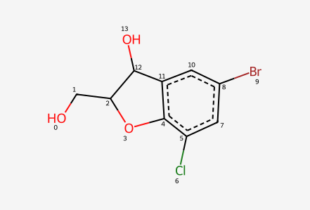 OCC1Oc2c(Cl)cc(Br)cc2C1O